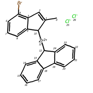 CC1=Cc2c(Br)cccc2[CH]1[Zr+2][CH]1c2ccccc2-c2ccccc21.[Cl-].[Cl-]